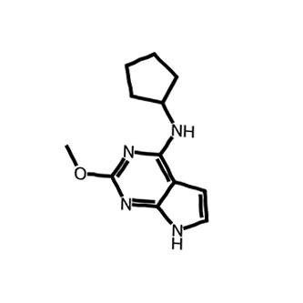 COc1nc(NC2CCCC2)c2cc[nH]c2n1